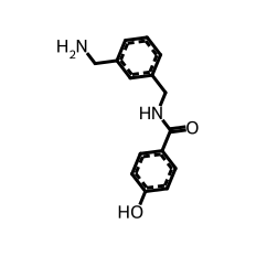 NCc1cccc(CNC(=O)c2ccc(O)cc2)c1